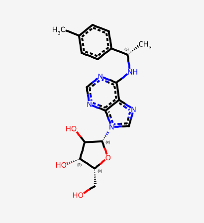 Cc1ccc([C@H](C)Nc2ncnc3c2ncn3[C@@H]2O[C@H](CO)[C@H](O)C2O)cc1